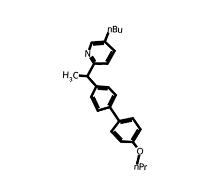 CCCCc1ccc(C(C)c2ccc(-c3ccc(OCCC)cc3)cc2)nc1